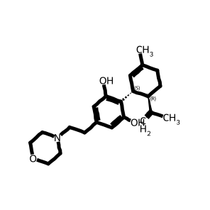 C=C(C)[C@@H]1CCC(C)=C[C@H]1c1c(O)cc(CCN2CCOCC2)cc1O